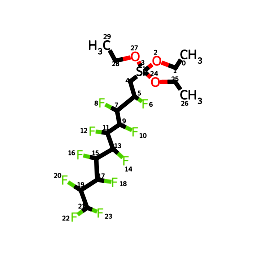 CCO[Si](CC(F)C(F)C(F)C(F)C(F)C(F)C(F)C(F)C(F)F)(OCC)OCC